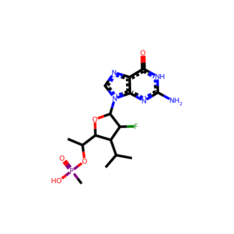 CC(C)C1C(F)C(n2cnc3c(=O)[nH]c(N)nc32)OC1C(C)OP(C)(=O)O